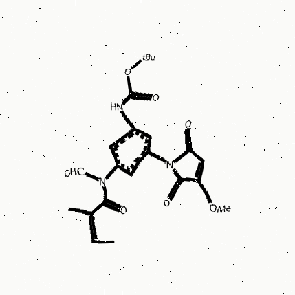 C/C=C(/C)C(=O)N(C=O)c1cc(NC(=O)OC(C)(C)C)cc(N2C(=O)C=C(OC)C2=O)c1